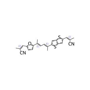 C/C(C#N)=C/c1ccc(/C(C)=C/C=C(\C)c2cc3sc(/C=C(/C)C#N)cc3s2)o1